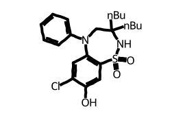 CCCCC1(CCCC)CN(c2ccccc2)c2cc(Cl)c(O)cc2S(=O)(=O)N1